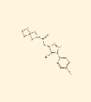 O=C(Cn1cnc(-c2ccc(F)cc2)c1Br)N1CC2(COC2)C1